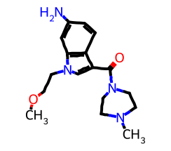 COCCn1cc(C(=O)N2CCN(C)CC2)c2ccc(N)cc21